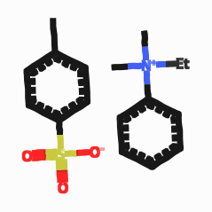 CC[N+](C)(C)c1ccccc1.Cc1ccc(S(=O)(=O)[O-])cc1